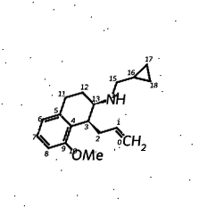 C=CC[C@H]1c2c(cccc2OC)CC[C@H]1NCC1CC1